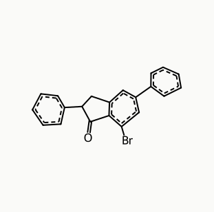 O=C1c2c(Br)cc(-c3ccccc3)cc2CC1c1ccccc1